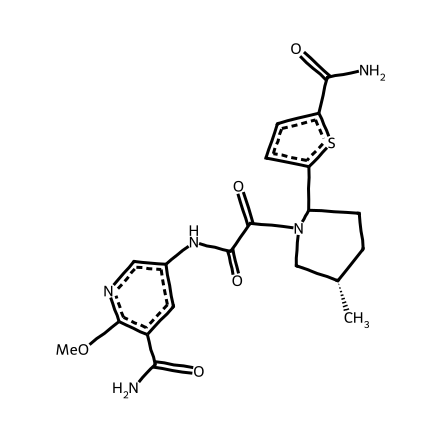 COc1ncc(NC(=O)C(=O)N2C[C@@H](C)CCC2c2ccc(C(N)=O)s2)cc1C(N)=O